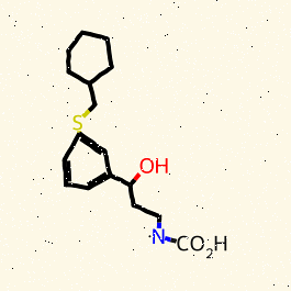 O=C(O)[N]CCC(O)c1cccc(SCC2CCCCC2)c1